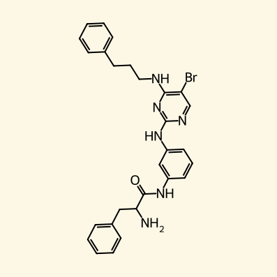 NC(Cc1ccccc1)C(=O)Nc1cccc(Nc2ncc(Br)c(NCCCc3ccccc3)n2)c1